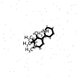 CC1C(C2CCCCN2)CCN(C)C1(C)C